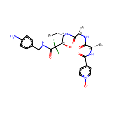 CCC[C@H](NC(=O)[C@@H](NC(=O)c1cc[n+]([O-])cc1)C(C)CC)C(=O)N[C@@H](CC(C)C)[C@@H](O)C(F)(F)C(=O)NCc1ccc(N)cc1